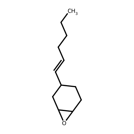 CCCC/C=C/C1CCC2OC2C1